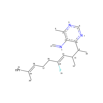 C=Nc1c(C)ncnc1C(C)C(C)/C=C(\F)CC/C=C(\C)CCC